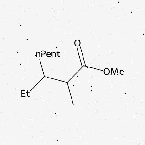 CCCCCC(CC)C(C)C(=O)OC